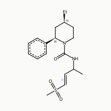 CC[C@H]1CCN(C(=O)NC(C)/C=C/S(C)(=O)=O)[C@@H](c2ccccc2)C1